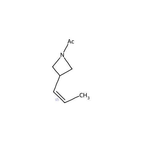 C/C=C\C1CN(C(C)=O)C1